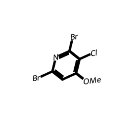 COc1cc(Br)nc(Br)c1Cl